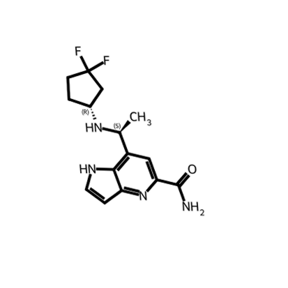 C[C@H](N[C@@H]1CCC(F)(F)C1)c1cc(C(N)=O)nc2cc[nH]c12